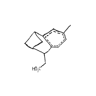 Cc1ccc2c(c1)C1CC(C1)C2CC(=O)O